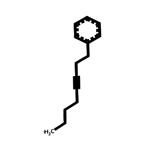 [CH2]CCCC#CCCc1ccccc1